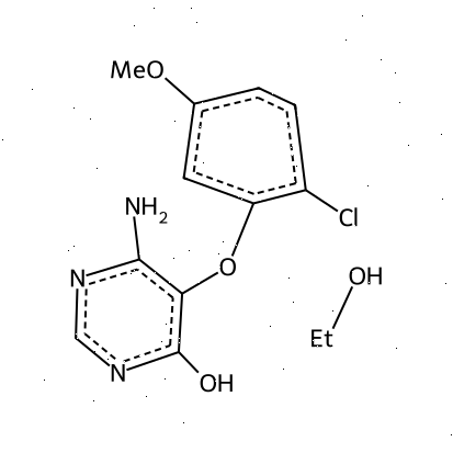 CCO.COc1ccc(Cl)c(Oc2c(N)ncnc2O)c1